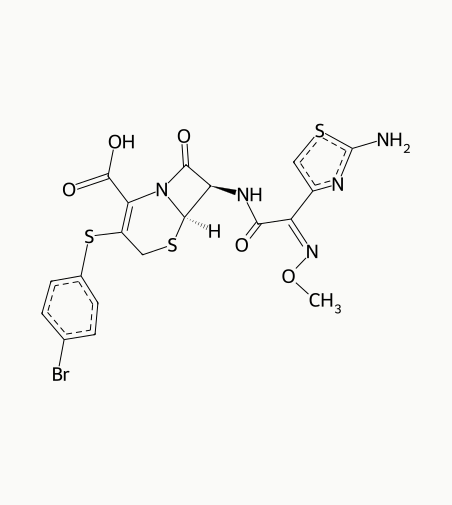 CO/N=C(\C(=O)N[C@@H]1C(=O)N2C(C(=O)O)=C(Sc3ccc(Br)cc3)CS[C@H]12)c1csc(N)n1